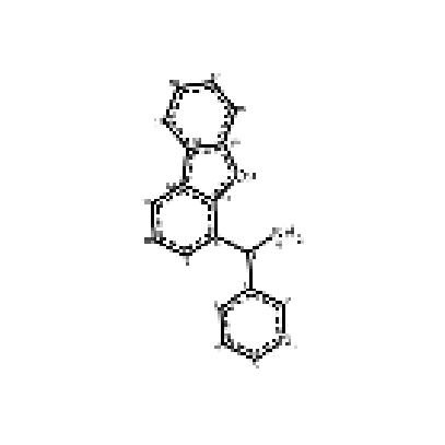 NC(c1cccnc1)c1cccc2c1oc1ccccc12